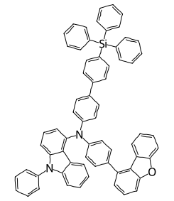 c1ccc(-n2c3ccccc3c3c(N(c4ccc(-c5ccc([Si](c6ccccc6)(c6ccccc6)c6ccccc6)cc5)cc4)c4ccc(-c5cccc6oc7ccccc7c56)cc4)cccc32)cc1